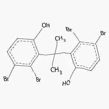 CC(C)(c1c(O)ccc(Br)c1Br)c1c(O)ccc(Br)c1Br